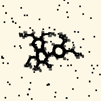 CCc1c(C)[n+]([O-])c(-c2ccc(OC)c(OC)c2)c2cc(OC)c(OC)cc12